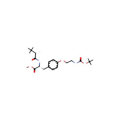 COC(=O)[C@H](Cc1ccc(OCCNC(=O)OC(C)(C)C)cc1)NC(=O)[C@@H](N)C(C)(C)C